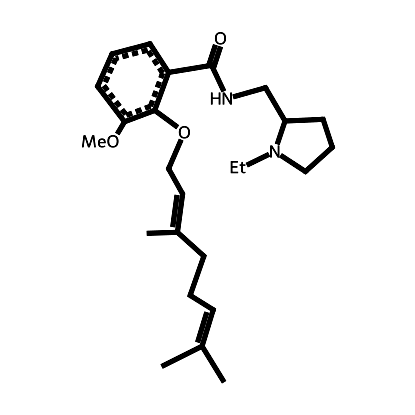 CCN1CCCC1CNC(=O)c1cccc(OC)c1OC/C=C(\C)CCC=C(C)C